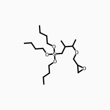 CCCCO[Si](CC(C)C(C)OCC1CO1)(OCCCC)OCCCC